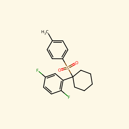 Cc1ccc(S(=O)(=O)C2(c3cc(F)ccc3F)CCCCC2)cc1